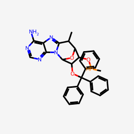 CPOC1C2OC(C1OC(c1ccccc1)(c1ccccc1)c1ccccc1)n1c(nc3c(N)ncnc31)C2C